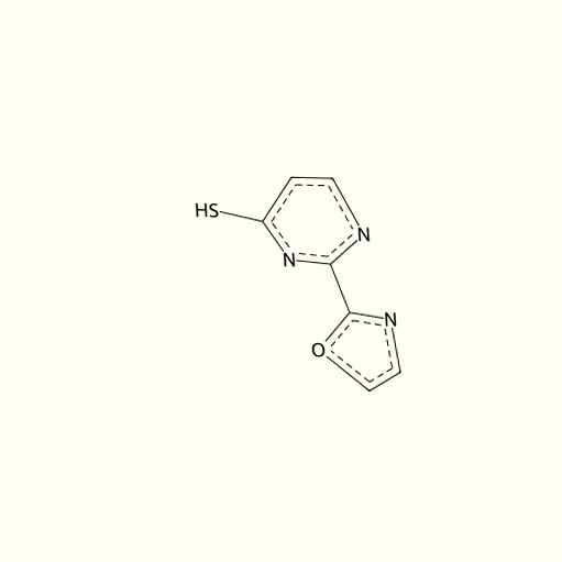 Sc1ccnc(-c2ncco2)n1